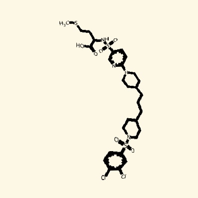 CSCCC(NS(=O)(=O)c1ccc(N2CCC(CCCC3CCN(S(=O)(=O)c4ccc(Cl)c(Cl)c4)CC3)CC2)nc1)C(=O)O